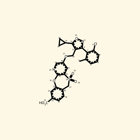 Cc1cccc(Cl)c1-c1noc(C2CC2)c1COc1cnc2c(c1)S(=O)(=O)Cc1ccc(C(=O)O)cc1O2